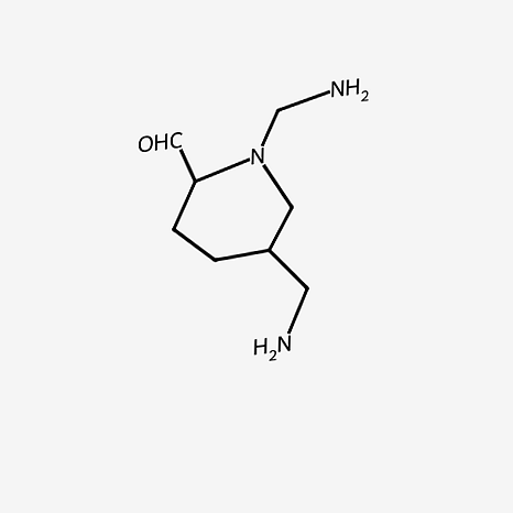 NCC1CCC(C=O)N(CN)C1